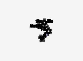 CCCC(C)(Pc1ccccc1/C=N/n1cccc1)c1cc(C(C)(C)C)cc(C(C)(C)C)c1OCOC